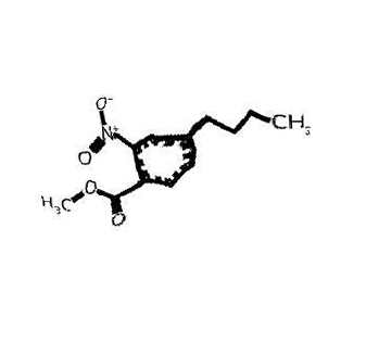 CCCCc1ccc(C(=O)OC)c([N+](=O)[O-])c1